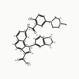 CN1CCN(c2ccc(Cl)c(C(=O)Nc3ccc4ccc5c(C(N)=O)nn(-c6ccc7c(c6)OCO7)c5c4c3)c2)CC1